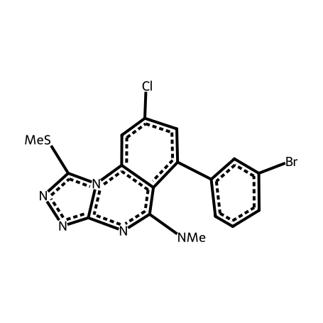 CNc1nc2nnc(SC)n2c2cc(Cl)cc(-c3cccc(Br)c3)c12